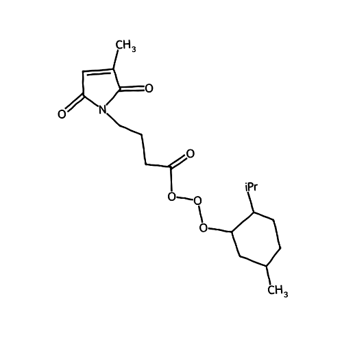 CC1=CC(=O)N(CCCC(=O)OOOC2CC(C)CCC2C(C)C)C1=O